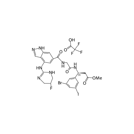 COC(=O)C[C@H](NC(=O)CNC(=O)c1cc(NC2=NCC(F)CN2)c2cn[nH]c2c1)c1cc(Br)cc(I)c1.O=C(O)C(F)(F)F